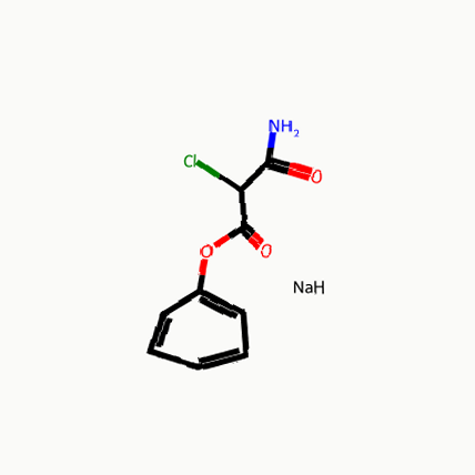 NC(=O)C(Cl)C(=O)Oc1ccccc1.[NaH]